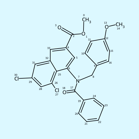 COC(=O)c1cc(N(Cc2ccc(OC)cc2)C(=O)c2ccccc2)c2c(Cl)cc(Cl)cc2c1